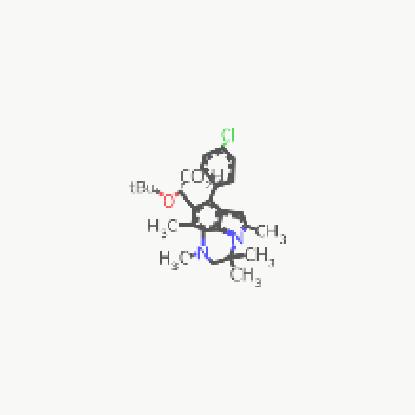 Cc1c([C@H](OC(C)(C)C)C(=O)O)c(-c2ccc(Cl)cc2)c2cc(C)n3c2c1N(C)CC3(C)C